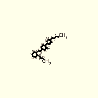 CCCCCc1ccc(-c2ccc(CC[C@@H]3CCCC[C@H]3CCCC)cc2F)nc1